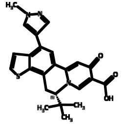 Cn1cc(-c2cc3c(c4sccc24)C[C@@H](C(C)(C)C)n2cc(C(=O)O)c(=O)cc2-3)cn1